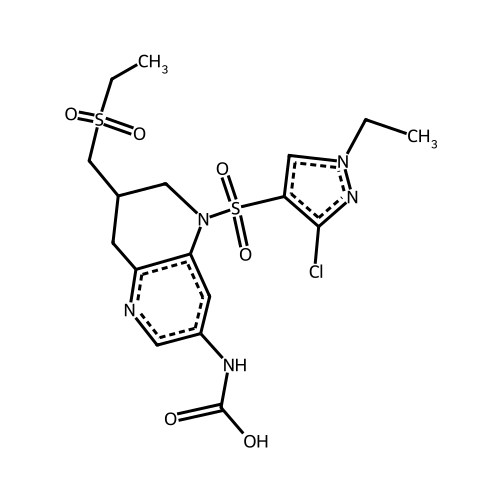 CCn1cc(S(=O)(=O)N2CC(CS(=O)(=O)CC)Cc3ncc(NC(=O)O)cc32)c(Cl)n1